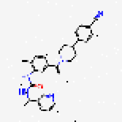 C=C(c1ccc(C)c(NC(=O)NC(C)c2cccnc2)c1)N1CCC(c2ccc(C#N)cc2)CC1